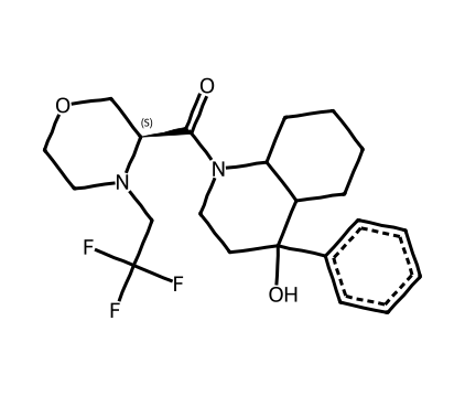 O=C([C@@H]1COCCN1CC(F)(F)F)N1CCC(O)(c2ccccc2)C2CCCCC21